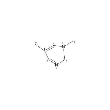 CC1=CN(C)CN=C1